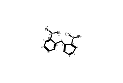 CCN(CC)c1ccccc1[C]c1ccccc1N(CC)CC